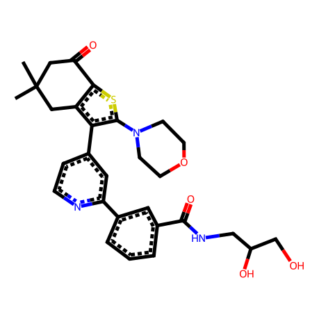 CC1(C)CC(=O)c2sc(N3CCOCC3)c(-c3ccnc(-c4cccc(C(=O)NCC(O)CO)c4)c3)c2C1